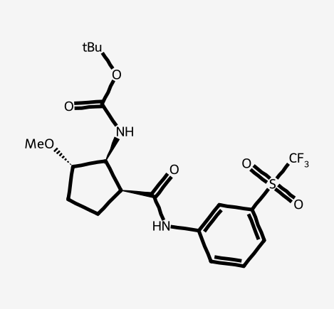 CO[C@H]1CC[C@H](C(=O)Nc2cccc(S(=O)(=O)C(F)(F)F)c2)[C@@H]1NC(=O)OC(C)(C)C